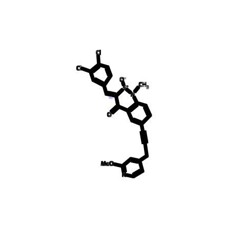 COc1cc(CC#Cc2ccc3c(c2)C(=O)/C(=C/c2ccc(Cl)c(Cl)c2)[S+]([O-])N3C)ccn1